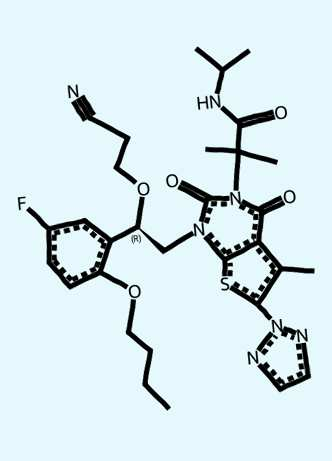 CCCCOc1ccc(F)cc1[C@H](Cn1c(=O)n(C(C)(C)C(=O)NC(C)C)c(=O)c2c(C)c(-n3nccn3)sc21)OCCC#N